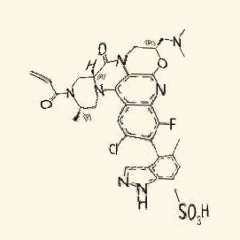 C=CC(=O)N1C[C@@H]2C(=O)N3C[C@@H](CN(C)C)Oc4nc5c(F)c(-c6c(C)ccc7[nH]ncc67)c(Cl)cc5c(c43)N2C[C@H]1C.CS(=O)(=O)O